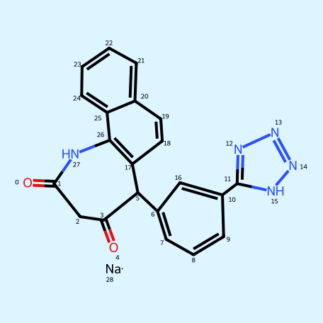 O=C1CC(=O)C(c2cccc(-c3nnn[nH]3)c2)c2ccc3ccccc3c2N1.[Na]